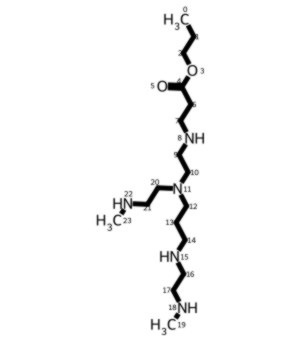 CCCOC(=O)CCNCCN(CCCNCCNC)CCNC